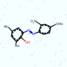 COc1ccc(/N=N/c2cc(C(C)(C)C)cc(C(C)(C)C)c2O)c([N+](=O)[O-])c1